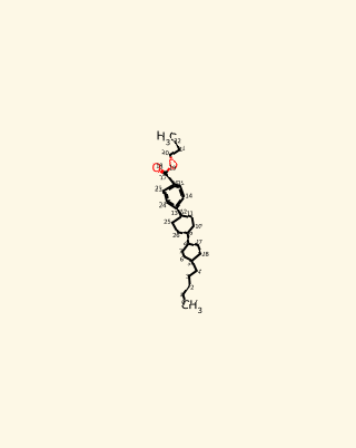 CCCCCC1CCC(C2CCC(c3ccc(C(=O)OCCC)cc3)CC2)CC1